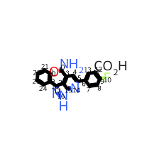 NC(=O)c1cc(-c2ccc(F)c(C(=O)O)c2)nc2[nH]nc(-c3ccccc3)c12